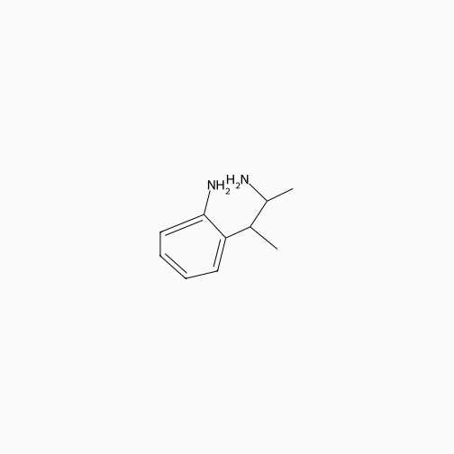 CC(N)C(C)c1ccccc1N